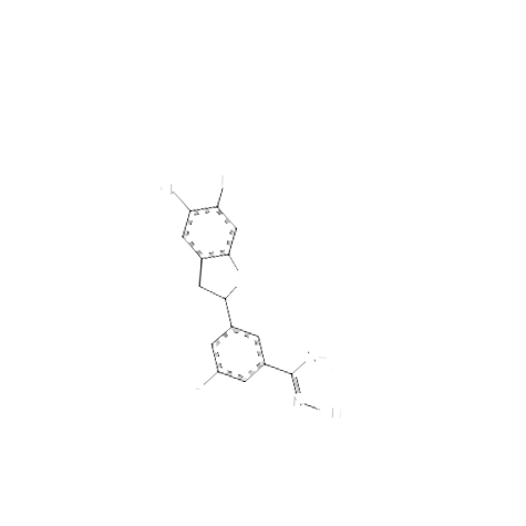 N/C(=N\O)c1cc(F)cc(C2Cc3cc(Cl)c(F)cc3O2)c1